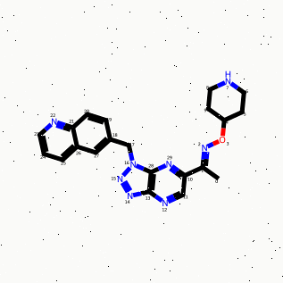 CC(=NOC1CCNCC1)c1cnc2nnn(Cc3ccc4ncccc4c3)c2n1